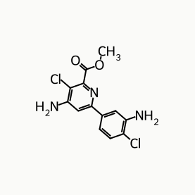 COC(=O)c1nc(-c2ccc(Cl)c(N)c2)cc(N)c1Cl